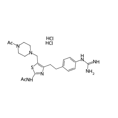 CC(=O)Nc1nc(CCc2ccc(NC(=N)N)cc2)c(CN2CCN(C(C)=O)CC2)s1.Cl.Cl